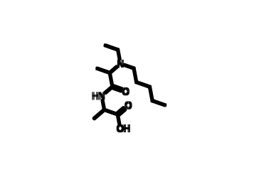 CCCCCN(CC)C(C)C(=O)NC(C)C(=O)O